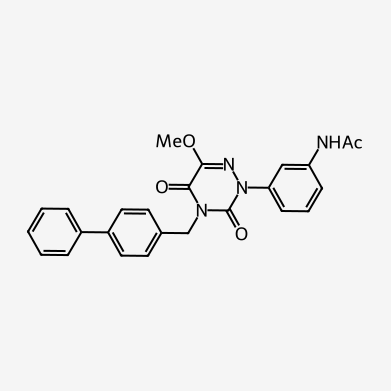 COc1nn(-c2cccc(NC(C)=O)c2)c(=O)n(Cc2ccc(-c3ccccc3)cc2)c1=O